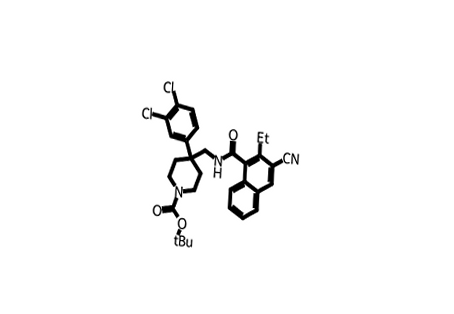 CCc1c(C#N)cc2ccccc2c1C(=O)NCC1(c2ccc(Cl)c(Cl)c2)CCN(C(=O)OC(C)(C)C)CC1